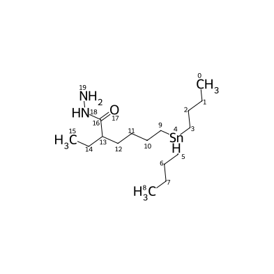 CCC[CH2][SnH]([CH2]CCC)[CH2]CCCC(CC)C(=O)NN